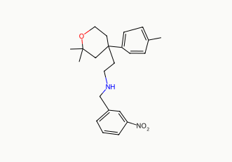 Cc1ccc(C2(CCNCc3cccc([N+](=O)[O-])c3)CCOC(C)(C)C2)cc1